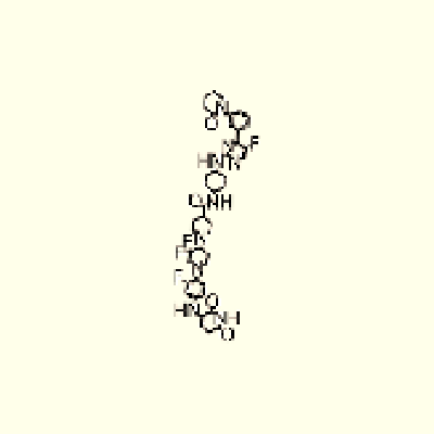 O=C1CCC(Nc2ccc(N3CCC(N4CCC(C(=O)N[C@H]5CC[C@H](Nc6ncc(F)c(-c7cccc(N8CCCCC8=O)c7)n6)CC5)CC4)C(F)(F)C3)c(F)c2)C(=O)N1